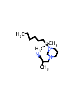 CCCCCC[Si](C)(C)N1CCCN(CC(C)C#N)C1